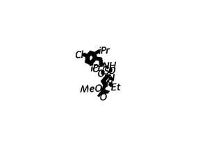 CCn1nc(S(=O)(=O)NC(=O)Cc2c(C(C)C)cc(Cl)cc2C(C)C)cc1C1(OC)COC1